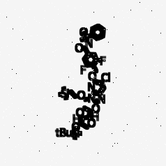 CC(C)(C)[Si](C)(C)O[C@@H]1CO[C@H]2[C@@H]1OC[C@H]2Oc1nc2cc(Cl)c(OCc3c(F)cc(C(=O)N=S(C)(=O)c4ccccc4)cc3F)nc2n1COCC[Si](C)(C)C